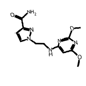 COc1cc(NCCn2c[c]c(C(N)=O)n2)nc(OC)n1